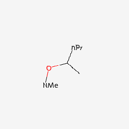 [CH2]NOC(C)CCC